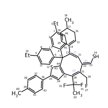 CCc1ccc(C2(c3ccc(CC)cc3)\C(C3=CCC(C)C=C3)=C/C(=C\S)C(/CF)=C(/C(C)(F)F)c3cc(-c4ccc(C)cc4)sc32)cc1